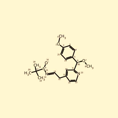 COc1ccc([C@@H](OC)c2cc(CC=N[S+]([O-])C(C)(C)C)ccn2)cc1